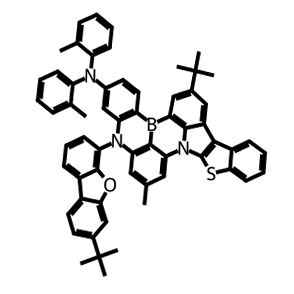 Cc1cc2c3c(c1)-n1c4sc5ccccc5c4c4cc(C(C)(C)C)cc(c41)B3c1ccc(N(c3ccccc3C)c3ccccc3C)cc1N2c1cccc2c1oc1cc(C(C)(C)C)ccc12